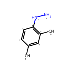 N#Cc1ccc(NN)c(C#N)c1